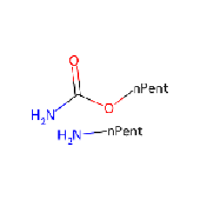 CCCCCN.CCCCCOC(N)=O